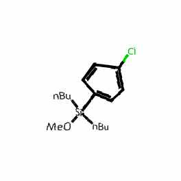 CCCC[Si](CCCC)(OC)c1ccc(Cl)cc1